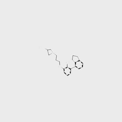 OC1CN(CCCOc2cccc(-c3cccc4c3C[C@H](F)C4)c2Cl)C1